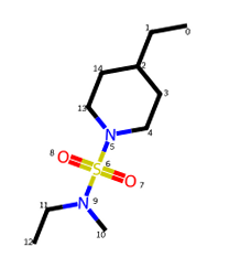 CCC1CCN(S(=O)(=O)N(C)CC)CC1